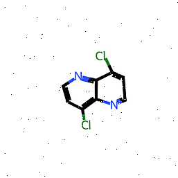 Clc1ccnc2c(Cl)ccnc12